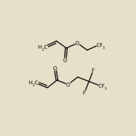 C=CC(=O)OCC(F)(F)C(F)(F)F.C=CC(=O)OCC(F)(F)F